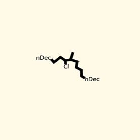 CCCCCCCCCCCCC[CH]C(C)C(Cl)CCCCCCCCCCCC